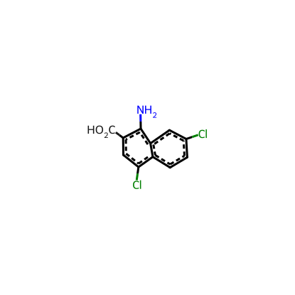 Nc1c(C(=O)O)cc(Cl)c2ccc(Cl)cc12